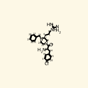 N=C(N)NCCC[C@H]1CN(C(=O)[C@H](N)Cc2ccc(Cl)cc2)CCN1Cc1ccccc1